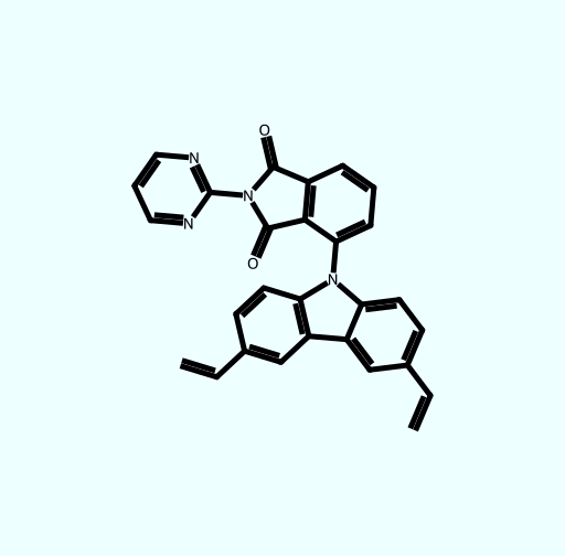 C=Cc1ccc2c(c1)c1cc(C=C)ccc1n2-c1cccc2c1C(=O)N(c1ncccn1)C2=O